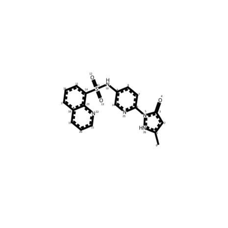 Cc1cc(=O)n(-c2ccc(NS(=O)(=O)c3cccc4cccnc34)cn2)[nH]1